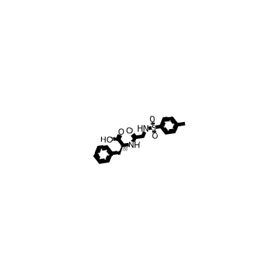 Cc1ccc(S(=O)(=O)NCC(=O)N[C@@H](Cc2ccccc2)C(=O)O)cc1